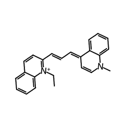 CC[n+]1c(C=CC=C2C=CN(C)c3ccccc32)ccc2ccccc21